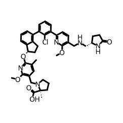 COc1nc(-c2cccc(-c3cccc4c3CC[C@@H]4Oc3nc(OC)c(CN4CCC[C@@]4(C)C(=O)O)cc3C)c2Cl)ccc1CNC[C@@H]1CCC(=O)N1